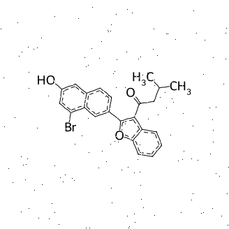 CC(C)CC(=O)c1c(-c2ccc3cc(O)cc(Br)c3c2)oc2ccccc12